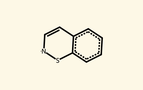 C1=Cc2ccccc2S[N]1